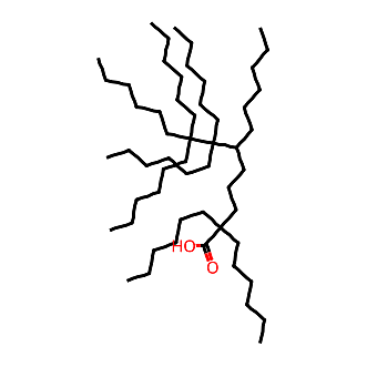 CCCCCCC(CCCC(CCCCCC)(CCCCCC)C(=O)O)C(CCCCCC)(CCCCCC)C(CCCCCC)(CCCCCC)CCCCCC